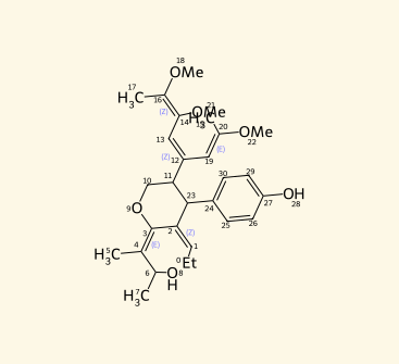 CC/C=C1\C(=C(\C)C(C)O)OCC(C(=C/C(OC)=C(\C)OC)/C=C(\C)OC)C1c1ccc(O)cc1